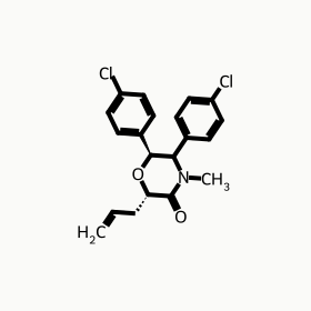 C=CC[C@@H]1O[C@@H](c2ccc(Cl)cc2)C(c2ccc(Cl)cc2)N(C)C1=O